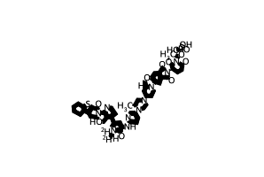 [2H]C([2H])([2H])n1cc(-c2ccnc(N3CCc4c(sc5c4CCCC5)C3=O)c2CO)cc(Nc2ccc(N3CCN([C@H]4CCN5c6cc7c(cc6OC[C@H]5C4)C(=O)N([C@H]4CCC(=O)N(C(C)OP(=O)(O)O)C4=O)C7=O)C[C@@H]3C)cn2)c1=O